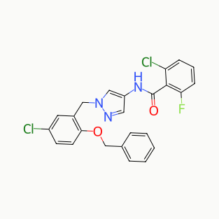 O=C(Nc1cnn(Cc2cc(Cl)ccc2OCc2ccccc2)c1)c1c(F)cccc1Cl